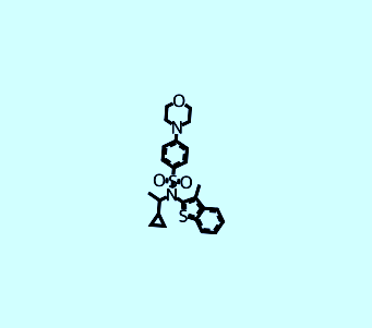 Cc1c(N(C(C)C2CC2)S(=O)(=O)c2ccc(N3CCOCC3)cc2)sc2ccccc12